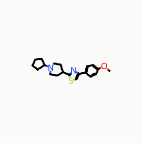 COc1ccc(-c2csc(C3CCN(C4CCCC4)CC3)n2)cc1